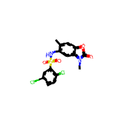 Cc1cc2oc(=O)n(C)c2cc1NS(=O)(=O)c1cc(Cl)ccc1Cl